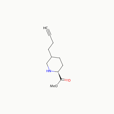 C#CCCC1CC[C@@H](C(=O)OC)NC1